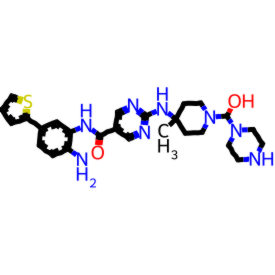 CC1(Nc2ncc(C(=O)Nc3cc(-c4cccs4)ccc3N)cn2)CCN(C(O)N2CCNCC2)CC1